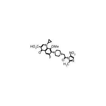 COc1c(N2CCN(CC(=O)n3c([N+](=O)[O-])cnc3C)CC2)c(F)cc2c(=O)c(C(=O)O)cn(C3CC3)c12